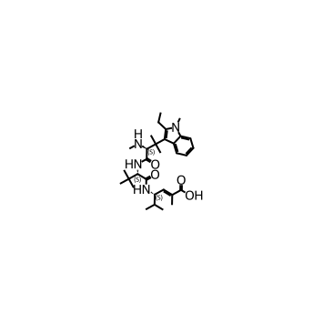 CCc1c(C(C)(C)[C@H](NC)C(=O)N[C@H](C(=O)N[C@H](C=C(C)C(=O)O)C(C)C)C(C)(C)C)c2ccccc2n1C